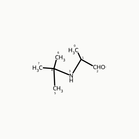 CC([C]=O)NC(C)(C)C